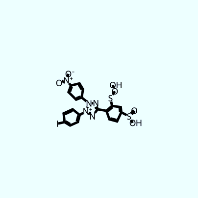 O=[N+]([O-])c1ccc(-n2nc(-c3ccc(S(=O)O)cc3SOO)n[n+]2-c2ccc(I)cc2)cc1